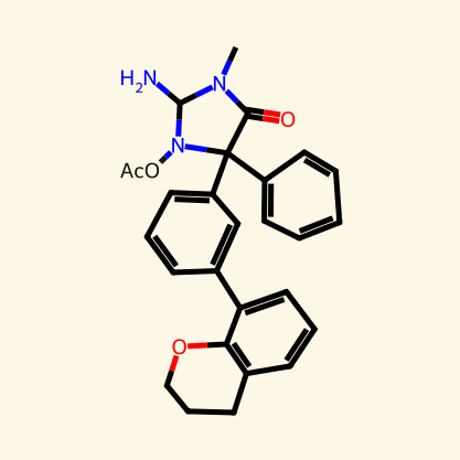 CC(=O)ON1C(N)N(C)C(=O)C1(c1ccccc1)c1cccc(-c2cccc3c2OCCC3)c1